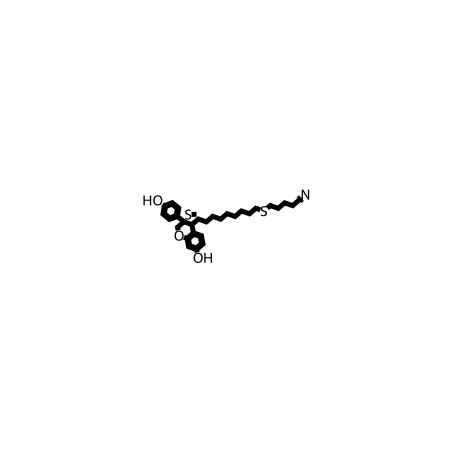 CSC1(c2ccc(O)cc2)COc2cc(O)ccc2C1CCCCCCCCCSCCCCC#N